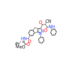 COC(=O)[C@H](CC(C)C)NC(=O)c1ccc2c(c1)-c1c(c(C(=O)C(C#N)C(=O)Nc3ccccc3)nn1-c1ccccc1)C2